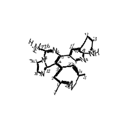 Cc1cc(-c2c(-c3cnc4c(c3)CCN4)nc(N)n3ccnc23)cc(C)n1